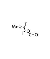 COC(F)[C@H](F)OC=O